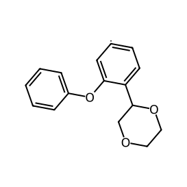 [c]1ccc(C2COCCO2)c(Oc2ccccc2)c1